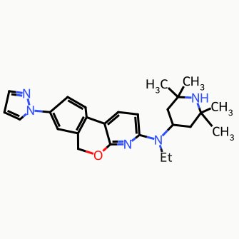 CCN(c1ccc2c(n1)OCc1cc(-n3cccn3)ccc1-2)C1CC(C)(C)NC(C)(C)C1